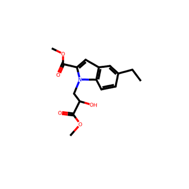 CCc1ccc2c(c1)cc(C(=O)OC)n2CC(O)C(=O)OC